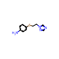 Nc1ccc(SCCn2cncn2)cc1